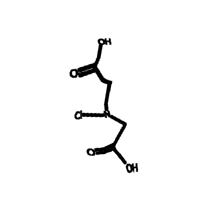 O=C(O)CN(Cl)CC(=O)O